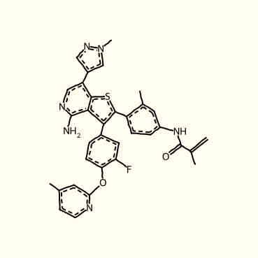 C=C(C)C(=O)Nc1ccc(-c2sc3c(-c4cnn(C)c4)cnc(N)c3c2-c2ccc(Oc3cc(C)ccn3)c(F)c2)c(C)c1